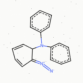 [N-]=[N+]=C1C=CC=CC1N(c1ccccc1)c1ccccc1